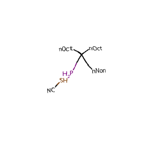 CCCCCCCCCC(P)(CCCCCCCC)CCCCCCCC.N#CS